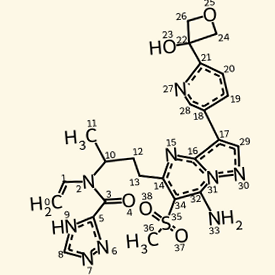 C=CN(C(=O)c1nnc[nH]1)C(C)CCc1nc2c(-c3ccc(C4(O)COC4)nc3)cnn2c(N)c1S(C)(=O)=O